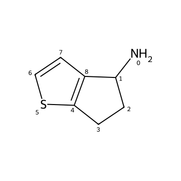 NC1CCc2sccc21